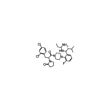 CCC(N)NC(CC(C)C)c1cccc(F)c1N1CCN(C(=O)C(Cc2ccc(Cl)cc2Cl)N2CCCC2=O)CC1